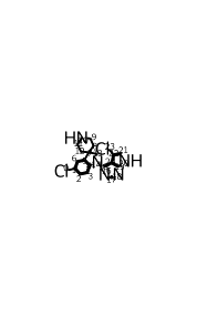 Clc1ccc2c(c1)C1(CCNCC1)CN2c1ncnc2[nH]cc(Cl)c12